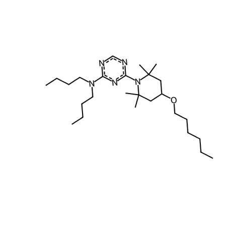 CCCCCCOC1CC(C)(C)N(c2ncnc(N(CCCC)CCCC)n2)C(C)(C)C1